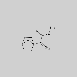 C=C(C(=O)OC)C12C=CC(CC1)C2